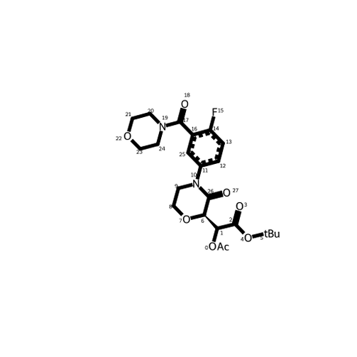 CC(=O)OC(C(=O)OC(C)(C)C)[C@H]1OCCN(c2ccc(F)c(C(=O)N3CCOCC3)c2)C1=O